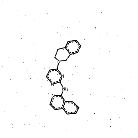 c1ccc2c(c1)CCN(c1ccnc(Nc3nccc4ccccc34)n1)C2